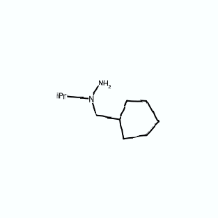 CC(C)N(N)CC1CCCCC1